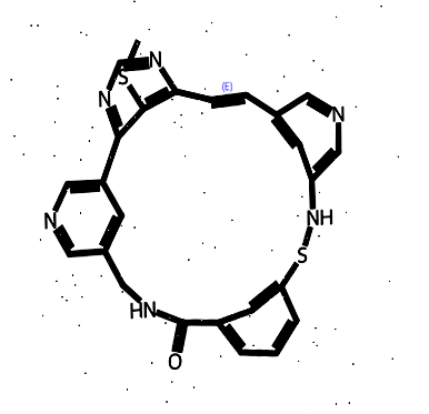 CSc1c2ncnc1-c1cncc(c1)CNC(=O)c1cccc(c1)SNc1cncc(c1)/C=C/2